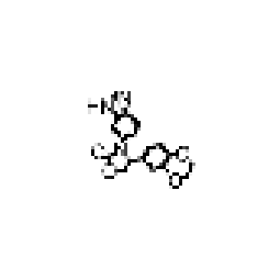 O=C1OCC(c2ccc3c(c2)OCCO3)N1c1ccc2nc[nH]c2c1